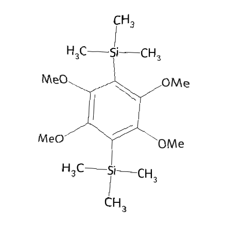 COc1c(OC)c([Si](C)(C)C)c(OC)c(OC)c1[Si](C)(C)C